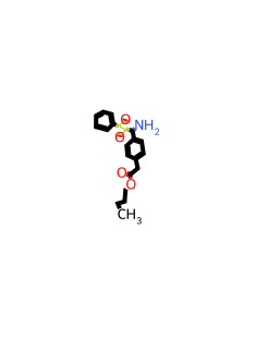 CCCCOC(=O)Cc1ccc(C(N)S(=O)(=O)c2ccccc2)cc1